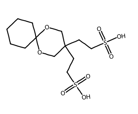 O=S(=O)(O)CCC1(CCS(=O)(=O)O)COC2(CCCCC2)OC1